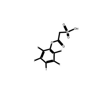 O=C(CS(=O)(=O)O)Oc1c(I)c(I)c(I)c(I)c1I